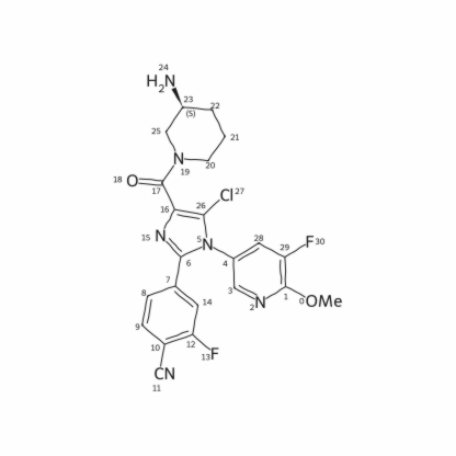 COc1ncc(-n2c(-c3ccc(C#N)c(F)c3)nc(C(=O)N3CCC[C@H](N)C3)c2Cl)cc1F